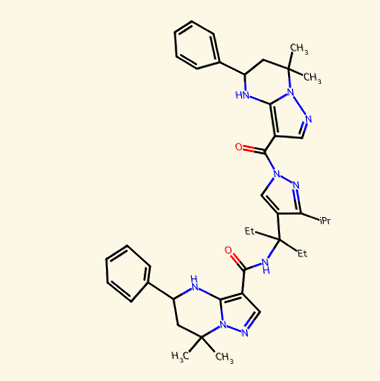 CCC(CC)(NC(=O)c1cnn2c1NC(c1ccccc1)CC2(C)C)c1cn(C(=O)c2cnn3c2NC(c2ccccc2)CC3(C)C)nc1C(C)C